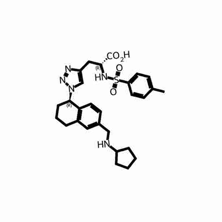 Cc1ccc(S(=O)(=O)N[C@H](Cc2cn([C@@H]3CCCc4cc(CNC5CCCC5)ccc43)nn2)C(=O)O)cc1